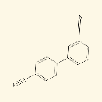 N#Cc1ccc(-c2cccc(C#N)c2)cc1